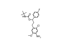 COc1cc(CCC(OC(=O)NC(C)(C)C)c2ccc(F)cc2)c(Cl)cc1N